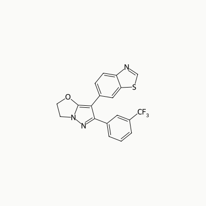 FC(F)(F)c1cccc(-c2nn3c(c2-c2ccc4ncsc4c2)OCC3)c1